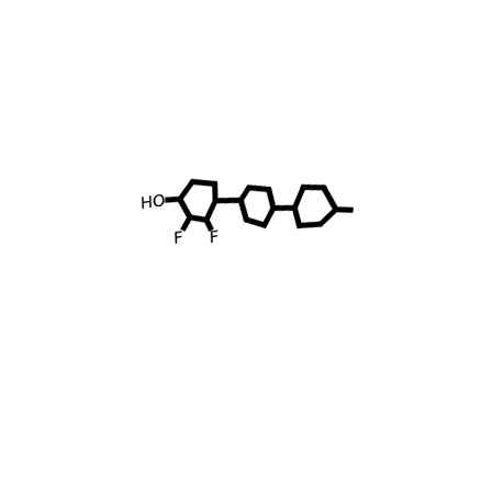 CC1CCC(C2CCC(C3CCC(O)C(F)C3F)CC2)CC1